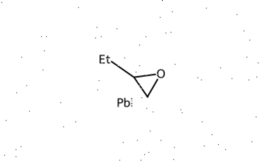 CCC1CO1.[Pb]